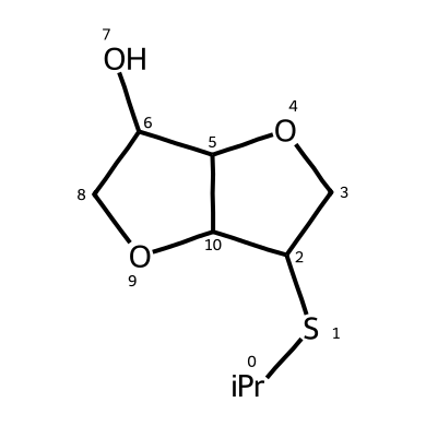 CC(C)SC1COC2C(O)COC12